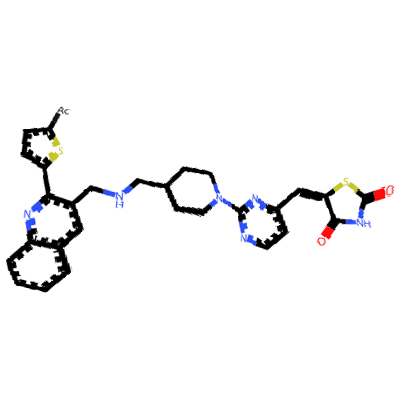 CC(=O)c1ccc(-c2nc3ccccc3cc2CNCC2CCN(c3nccc(/C=C4/SC(=O)NC4=O)n3)CC2)s1